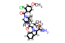 COc1ccc(C(=O)N2C[C@@H]3C[C@H]2CN3C(=O)[C@@H](n2c(C(N)=O)cc3ccccc32)C(C)(C)C)c(Cl)c1